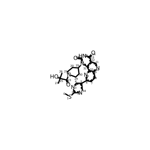 CSc1ncc(-c2ccc3ncc4c(=O)[nH]c(=O)n(C5CCN(C(=O)C(C)(C)O)CC5)c4c3n2)cn1